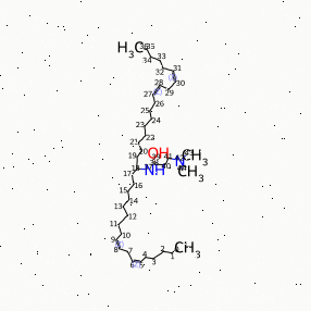 CCCCC/C=C\C/C=C\CCCCCCCCC(CCCCCCCC/C=C\C/C=C\CCCCC)NC(O)CCN(C)C